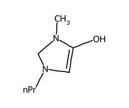 CCCN1C=C(O)N(C)C1